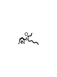 CCCCCN(C(=O)CC)c1ccn(C)n1